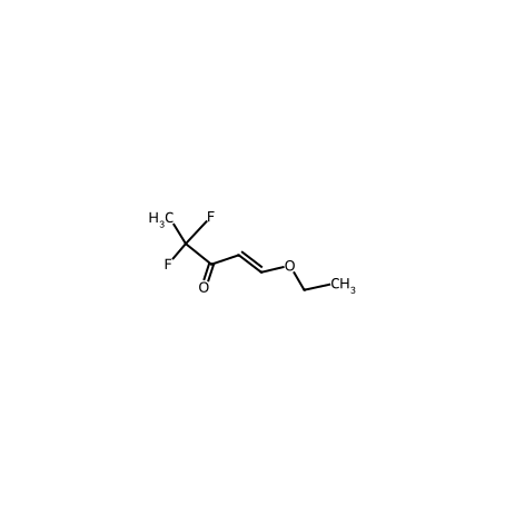 CCOC=CC(=O)C(C)(F)F